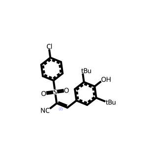 CC(C)(C)c1cc(/C=C(/C#N)S(=O)(=O)c2ccc(Cl)cc2)cc(C(C)(C)C)c1O